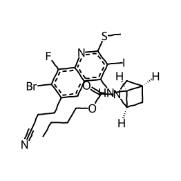 CCCCOC(=O)N1C[C@H]2C[C@@H]1[C@H]2Nc1c(I)c(SC)nc2c(F)c(Br)c(CCC#N)cc12